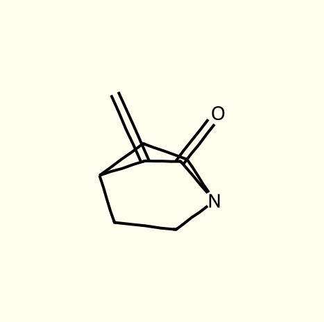 C=C1C(=O)N2CCC1CC2